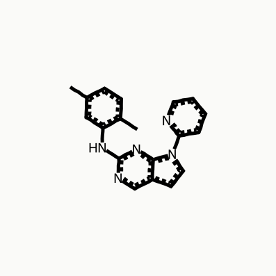 Cc1ccc(C)c(Nc2ncc3ccn(-c4ccccn4)c3n2)c1